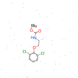 C[C@H](COc1c(Cl)cccc1Cl)NC(=O)OC(C)(C)C